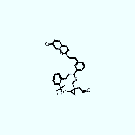 CC(C)(O)c1ccccc1CC[C@@H](SC[C@@]1(CC=O)C[C@H]1F)c1cccc(/C=C/c2ccc3ccc(Cl)cc3n2)c1